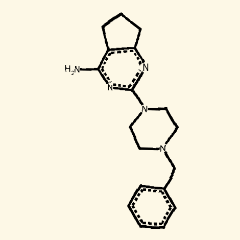 Nc1nc(N2CCN(Cc3ccccc3)CC2)nc2c1CCC2